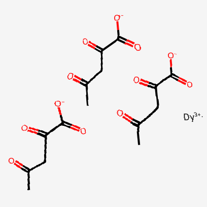 CC(=O)CC(=O)C(=O)[O-].CC(=O)CC(=O)C(=O)[O-].CC(=O)CC(=O)C(=O)[O-].[Dy+3]